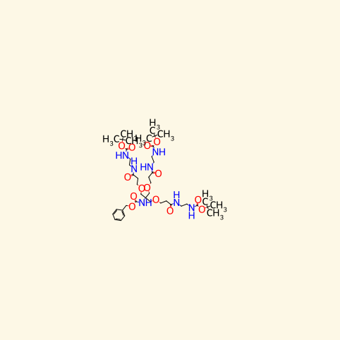 CC(C)(C)OC(=O)NCCNC(=O)CCOCC(COCCC(=O)NCCNC(=O)OC(C)(C)C)(COCCC(=O)NCCNC(=O)OC(C)(C)C)NC(=O)OCc1ccccc1